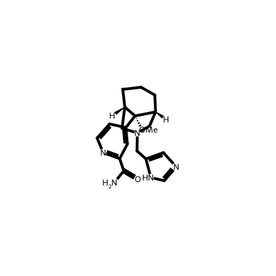 CO[C@@]1(c2ccnc(C(N)=O)c2)[C@@H]2CCC[C@H]1CN(Cc1cnc[nH]1)C2